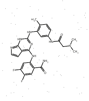 Cc1ccc(NC(=O)CN(C)C)cc1Nc1nc(Nc2cc(F)c(F)cc2C(N)=O)c2ccnc-2[nH]1